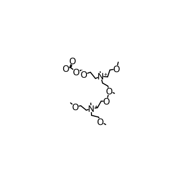 COCC[N+](C)(CCOC)CCOC.COCC[N+](C)(CCOC)CCOC.O=C([O-])[O-]